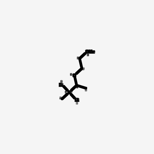 CC[N+](C)(CC)C(C)OCCOC